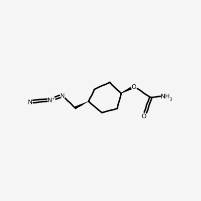 [N-]=[N+]=NC[C@H]1CC[C@@H](OC(N)=O)CC1